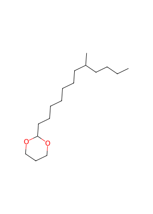 CCCCC(C)CCCCCCCC1OCCCO1